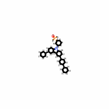 CP(C)(=O)c1cccc(-n2c3ccc(-c4ccccc4)cc3c3cc(-c4ccc(-c5ccccc5)cc4)ccc32)c1